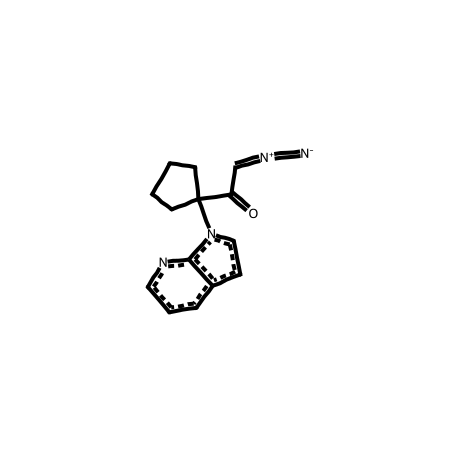 [N-]=[N+]=CC(=O)C1(n2ccc3cccnc32)CCCC1